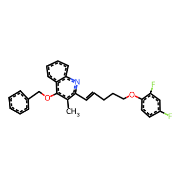 Cc1c(C=CCCCOc2ccc(F)cc2F)nc2ccccc2c1OCc1ccccc1